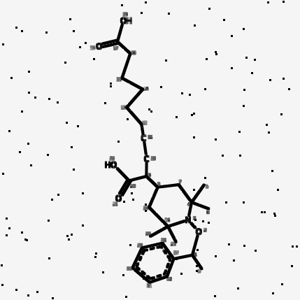 CC(ON1C(C)(C)CC(C(CCCCCCCC(=O)O)C(=O)O)CC1(C)C)c1ccccc1